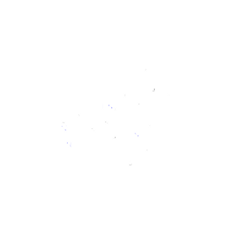 CCn1cc(C2NCc3c(Cl)cccc3-n3cccc32)cn1